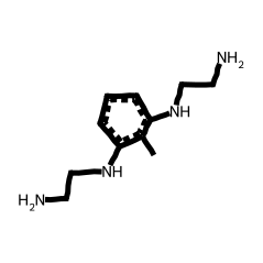 Cc1c(NCCN)cccc1NCCN